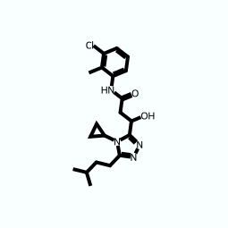 Cc1c(Cl)cccc1NC(=O)CC(O)c1nnc(CCC(C)C)n1C1CC1